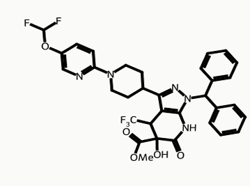 COC(=O)C1(O)C(=O)Nc2c(c(C3CCN(c4ccc(OC(F)F)cn4)CC3)nn2C(c2ccccc2)c2ccccc2)C1C(F)(F)F